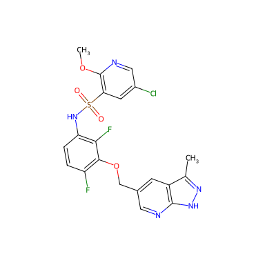 COc1ncc(Cl)cc1S(=O)(=O)Nc1ccc(F)c(OCc2cnc3[nH]nc(C)c3c2)c1F